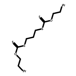 CC(C)CCOC(=S)SCCCSC(=S)OCCC(C)C